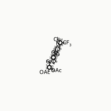 CC(=O)Oc1ccc(C(=O)N2CCc3cc(S(=O)(=O)N4CCN(c5cc(C(F)(F)F)cc(Cl)n5)CC4)ccc32)cc1OC(C)=O